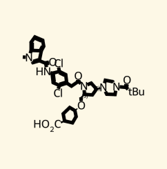 Cn1cc(C(=O)Nc2cc(Cl)c(CC(=O)N3C[C@@H](N4CCN(C(=O)C(C)(C)C)CC4)C[C@H]3CO[C@H]3CC[C@H](C(=O)O)CC3)cc2Cl)c2ccccc21